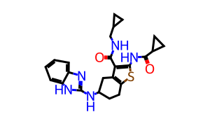 O=C(NCC1CC1)c1c(NC(=O)C2CC2)sc2c1CC(Nc1nc3ccccc3[nH]1)CC2